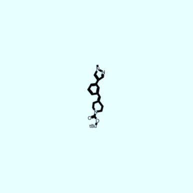 Cn1cc(-c2cccc(C=C3CCN(C(=O)OC(C)(C)C)CC3)c2)cn1